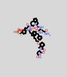 NC(=O)CC[C@H](NC(=O)[C@@H]1Cc2cccc3c2N1C(=O)[C@@H](NC(=O)c1cc2cc(C(F)(F)P(=O)(O)O)ccc2n1C(=O)CCCCCCCCOc1cccc2c1CN(C1CCC(=O)NC1=O)C2=O)CC3)C(=O)NC(c1ccccc1)c1ccccc1